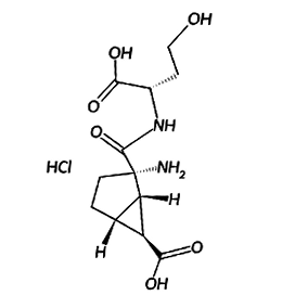 Cl.N[C@@]1(C(=O)N[C@@H](CCO)C(=O)O)CC[C@H]2[C@H](C(=O)O)[C@H]21